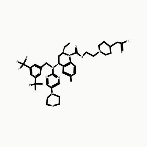 CC[C@@H]1C[C@H](N(Cc2cc(C(F)(F)F)cc(C(F)(F)F)c2)c2ncc(N3CCOCC3)cn2)c2cc(C)ccc2N1C(=O)OCCN1CCC(CC(=O)O)CC1